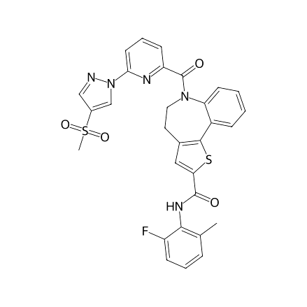 Cc1cccc(F)c1NC(=O)c1cc2c(s1)-c1ccccc1N(C(=O)c1cccc(-n3cc(S(C)(=O)=O)cn3)n1)CC2